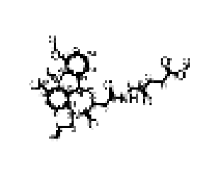 C=CCN1C(=O)C(CC(=O)NCC(=O)CCC(=O)OC)SC(c2cccc(OC)c2OC)c2cc(Cl)ccc21